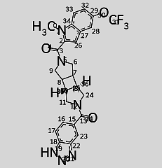 Cn1c(C(=O)N2CC3C(C2)[C@@H]2CN(C(=O)c4ccc5[nH]nnc5c4)C[C@H]32)cc2cc(OC(F)(F)F)ccc21